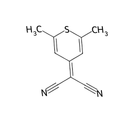 CC1=CC(=C(C#N)C#N)C=C(C)S1